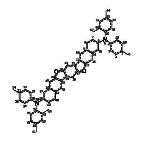 Cc1ccc(N(c2ccc3cc4c(cc3c2)oc2cc3c(cc24)oc2cc4cc(N(c5ccc(C)cc5)c5ccc(C)cc5C)ccc4cc23)c2ccc(C)cc2C)cc1